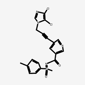 Cc1ccc(S(C)(=O)=NC(=O)c2cncc(C#CCn3cnc(Cl)c3Cl)c2)cc1